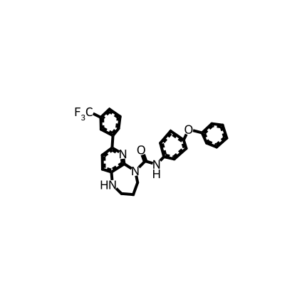 O=C(Nc1ccc(Oc2ccccc2)cc1)N1CCCNc2ccc(-c3cccc(C(F)(F)F)c3)nc21